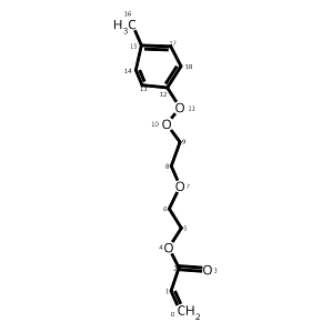 C=CC(=O)OCCOCCOOc1ccc(C)cc1